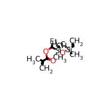 C=C[Si](C)(C)O[Si](C)(C)C(CC)OC(=O)C(=C)C